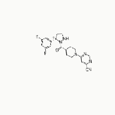 N#Cc1cc(N2CCC(C(=O)N3NCC[C@H]3c3cc(F)cc(F)c3)CC2)ncn1